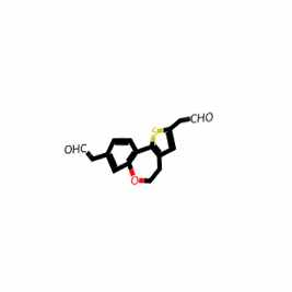 O=CCc1ccc2c(c1)OCCc1cc(CC=O)sc1-2